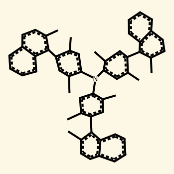 Cc1cc(N(c2cc(C)c(-c3c(C)ccc4ccccc34)cc2C)c2cc(C)c(-c3c(C)ccc4ccccc34)cc2C)c(C)cc1-c1c(C)ccc2ccccc12